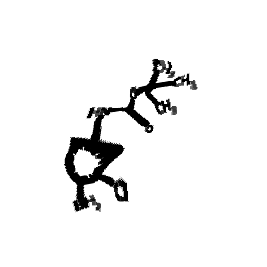 Bc1ccc(NC(=O)OC(C)(C)C)cc1Cl